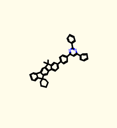 CC1(C)c2cc(-c3ccc(-c4cc(-c5ccccc5)nc(-c5ccccc5)n4)cc3)ccc2-c2cc3c(cc21)-c1ccccc1C31CCCCC1